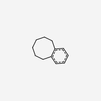 [CH]1CCCCc2ccccc2C1